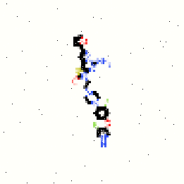 Nc1nc2c(sc(=O)n2CCN2CCN(c3ccc(O[C@H]4CNC[C@H]4F)cc3F)CC2)c2cc(-c3ccco3)nn12